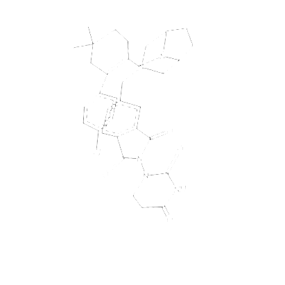 CC1(C)CCC(CN2C3CCC2CN(Cc2ccc4c(c2)C(=O)N(N2CCC(=O)NC2=O)C4=O)C3)=C(c2ccc(Cl)cc2)C1